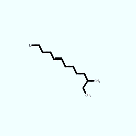 [Li][CH2]CCC=CCCCCC(C)CC